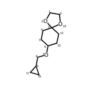 C1COC2(CCC(OCC3CC3)CC2)O1